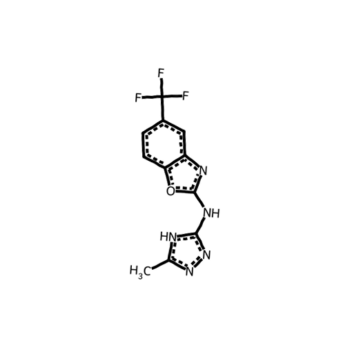 Cc1nnc(Nc2nc3cc(C(F)(F)F)ccc3o2)[nH]1